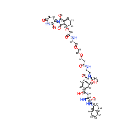 CN(CCNC(=O)CCOCCOCCNC(=O)COc1cccc2c1C(=O)N(C1CCC(=O)NC1=O)C2=O)C(=O)c1ccc(/C(O)=C/C(=N)C(=O)NC2CCc3ccccc32)cc1O